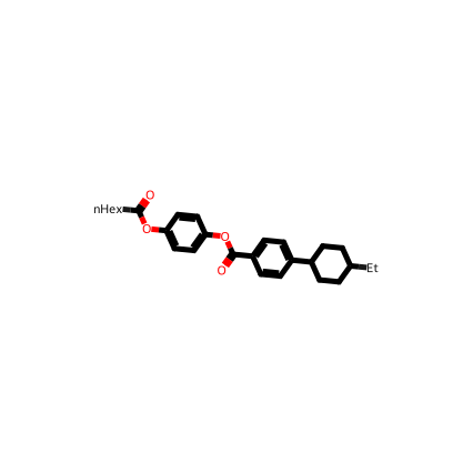 CCCCCCC(=O)Oc1ccc(OC(=O)c2ccc(C3CCC(CC)CC3)cc2)cc1